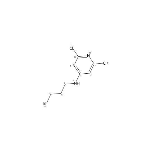 Clc1cc(NCCCBr)nc(Cl)n1